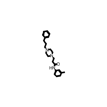 Cc1cccc(NC(=O)CCN2CCN(CCCc3ccccc3)CC2)c1